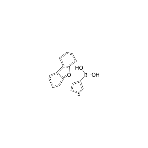 OB(O)c1ccsc1.c1ccc2c(c1)oc1ccccc12